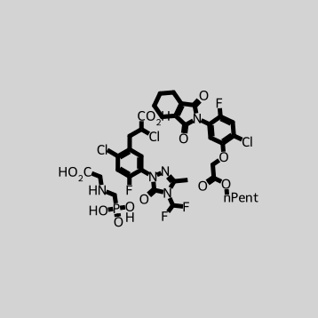 CCCCCOC(=O)COc1cc(N2C(=O)C3=C(CCCC3)C2=O)c(F)cc1Cl.Cc1nn(-c2cc(CC(Cl)C(=O)O)c(Cl)cc2F)c(=O)n1C(F)F.O=C(O)CNCP(=O)(O)O